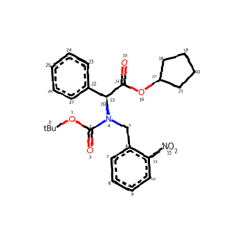 CC(C)(C)OC(=O)N(Cc1ccccc1[N+](=O)[O-])[C@H](C(=O)OC1CCCC1)c1ccccc1